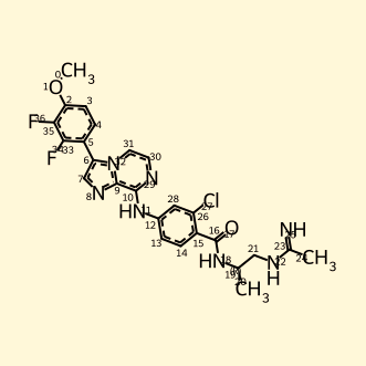 COc1ccc(-c2cnc3c(Nc4ccc(C(=O)N[C@H](C)CNC(C)=N)c(Cl)c4)nccn23)c(F)c1F